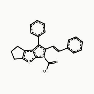 CC(=O)n1c(C=Cc2ccccc2)c(-c2ccccc2)c2c3c(sc21)CCC3